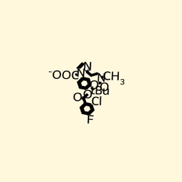 CN(CCC1=NC=C[N+]1(C(=O)[O-])c1ccc(OC(=O)c2ccc(F)cc2Cl)cc1)C(=O)OC(C)(C)C